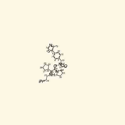 Cc1ncsc1-c1ccc(CNC(=O)[C@@H]2CCCN2C(=O)[C@@H](NCCC(C)C)C2CCCC2)cc1